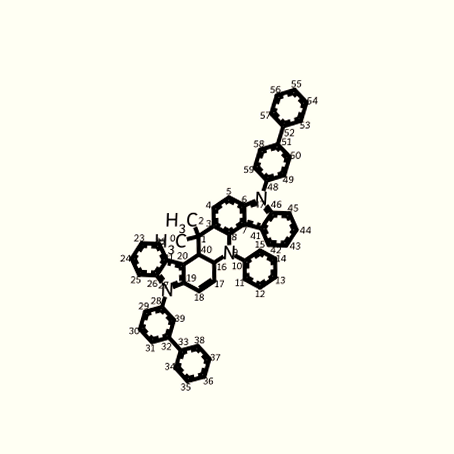 CC1(C)c2ccc3c(c2N(c2ccccc2)C2C=Cc4c(c5ccccc5n4-c4cccc(-c5ccccc5)c4)C21)c1ccccc1n3-c1ccc(-c2ccccc2)cc1